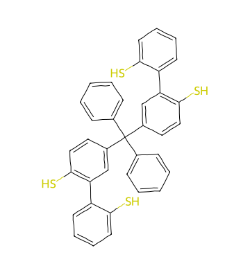 Sc1ccccc1-c1cc(C(c2ccccc2)(c2ccccc2)c2ccc(S)c(-c3ccccc3S)c2)ccc1S